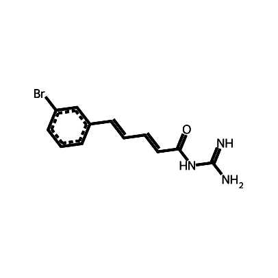 N=C(N)NC(=O)/C=C/C=C/c1cccc(Br)c1